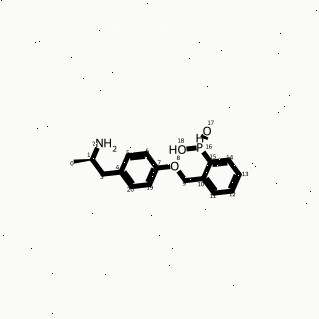 C[C@@H](N)Cc1ccc(OCc2ccccc2[PH](=O)O)cc1